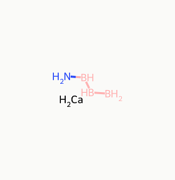 BBBN.[CaH2]